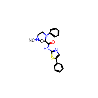 N#CN1CCN(c2ccccc2)C(C(=O)Nc2ncc(-c3ccccc3)s2)C1